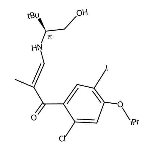 CC(=CN[C@H](CO)C(C)(C)C)C(=O)c1cc(I)c(OC(C)C)cc1Cl